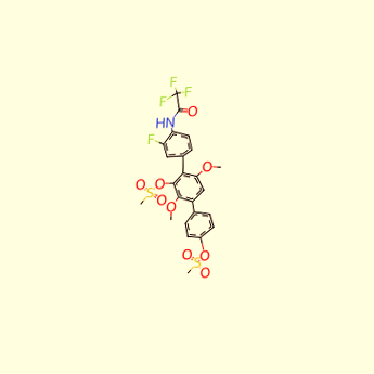 COc1cc(-c2ccc(OS(C)(=O)=O)cc2)c(OC)c(OS(C)(=O)=O)c1-c1ccc(NC(=O)C(F)(F)F)c(F)c1